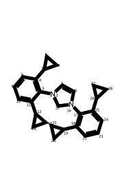 C1=CN(c2c(C3CC3)cccc2C2CC2)CN1c1c(C2CC2)cccc1C1CC1